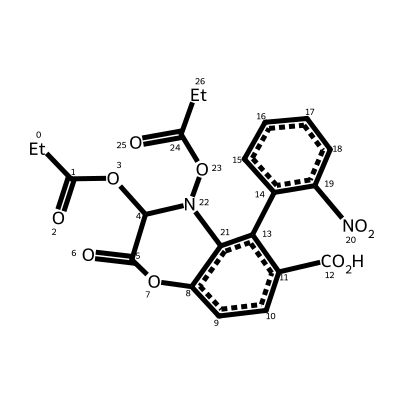 CCC(=O)OC1C(=O)Oc2ccc(C(=O)O)c(-c3ccccc3[N+](=O)[O-])c2N1OC(=O)CC